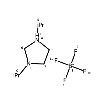 CC(C)N1CC[NH+](C(C)C)C1.F[B-](F)(F)F